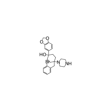 OC1(c2ccc3c(c2)OCO3)CCC(Cc2ccccc2Br)(N2CCNCC2)CC1